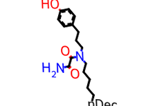 CCCCCCCCCCCCCCCN(CCCc1ccc(O)cc1)C(=O)C(N)=O